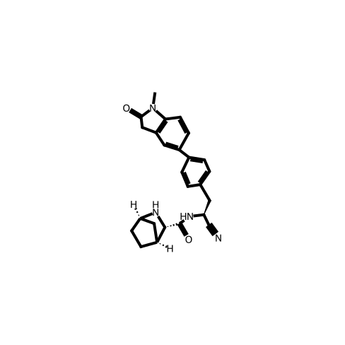 CN1C(=O)Cc2cc(-c3ccc(C[C@@H](C#N)NC(=O)[C@H]4N[C@@H]5CC[C@H]4C5)cc3)ccc21